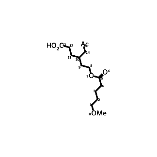 COCCCCC(=O)OCCC(CCC(=O)O)CC(C)=O